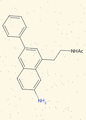 CC(=O)NCCc1cc(-c2ccccc2)cc2ccc(N)cc12